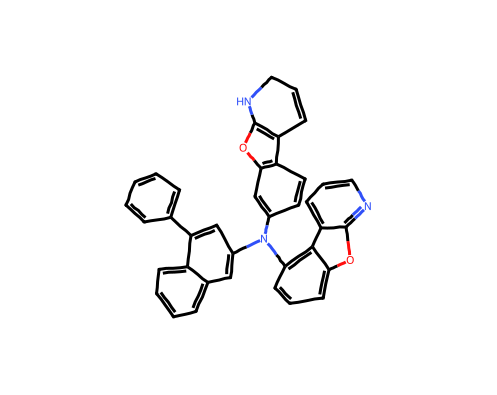 C1=Cc2c(oc3cc(N(c4cc(-c5ccccc5)c5ccccc5c4)c4cccc5oc6ncccc6c45)ccc23)NC1